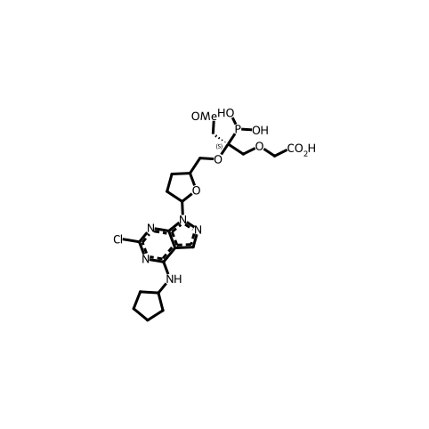 COC[C@](COCC(=O)O)(OCC1CCC(n2ncc3c(NC4CCCC4)nc(Cl)nc32)O1)P(O)O